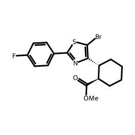 COC(=O)[C@@H]1CCCC[C@H]1c1nc(-c2ccc(F)cc2)sc1Br